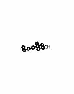 Cc1cccc2c1=CCCC=2C1=c2ccccc2=C(C2=CC=C(c3ccc(C4=c5ccccc5=CCC4)nc3)CC2)C2C=CC=CC12